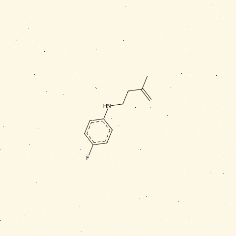 C=C(C)CCNc1ccc(F)cc1